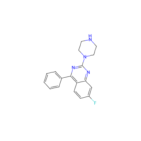 Fc1ccc2c(-c3ccccc3)nc(N3CCNCC3)nc2c1